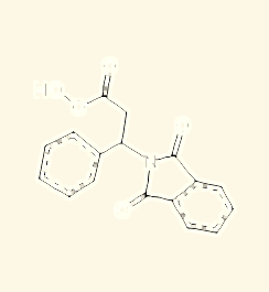 O=C(CC(c1ccccc1)N1C(=O)c2ccccc2C1=O)OO